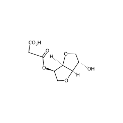 O=C(O)CC(=O)O[C@@H]1CO[C@H]2[C@@H]1OC[C@@H]2O